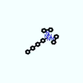 c1ccc(-c2ccc(-c3ccc(-c4ccc(-c5nc(-n6c7ccccc7c7ccccc76)nc(-n6c7ccccc7c7ccccc76)n5)cc4)cc3)cc2)cc1